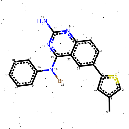 Cc1csc(-c2ccc3nc(N)nc(N(Br)c4ccccc4)c3c2)c1